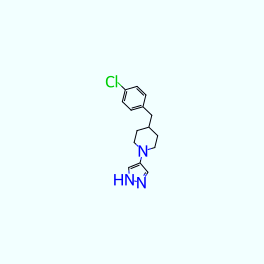 Clc1ccc(CC2CCN(c3cn[nH]c3)CC2)cc1